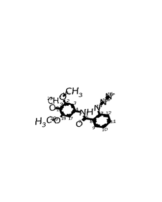 COc1cc(NC(=O)c2ccccc2N=[N+]=[N-])cc(OC)c1OC